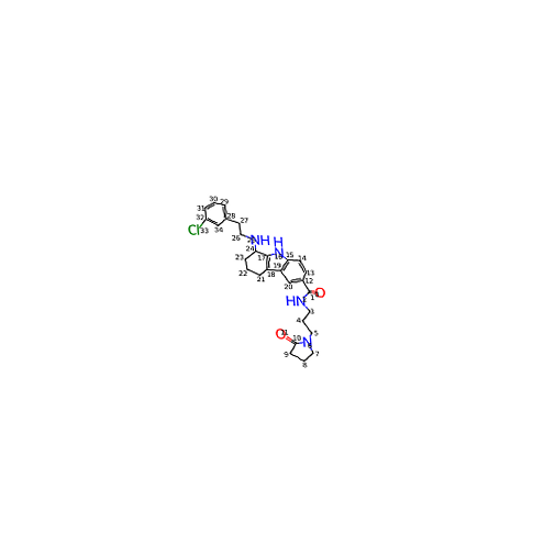 O=C(NCCCN1CCCC1=O)c1ccc2[nH]c3c(c2c1)CCCC3NCCc1cccc(Cl)c1